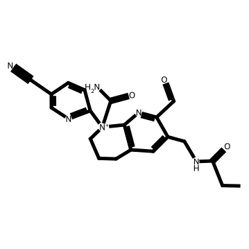 CCC(=O)NCc1cc2c(nc1C=O)[N+](C(N)=O)(c1ccc(C#N)cn1)CCC2